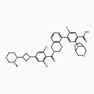 C[C@H]1COCCN1C1CN(c2cc(Cl)c(C(=O)N3COc4c(cccc4-c4cc(N5C6CCC5COC6)c(C(=O)O)cc4F)C3)c(Cl)c2)C1